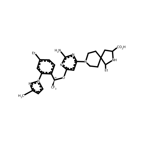 CCc1ccc([C@@H](Oc2cc(N3CCC4(CC3)CC(C(=O)O)NC4CC)nc(N)n2)C(F)(F)F)c(-n2ccc(C)n2)c1